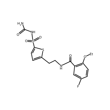 CCOc1ccc(F)cc1C(=O)NCCc1ccc(S(=O)(=O)NC(N)=O)s1